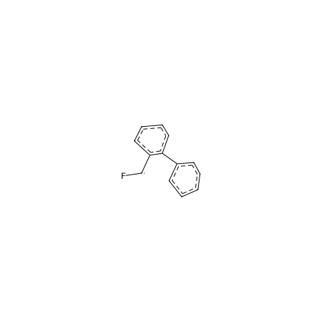 F[CH]c1ccccc1-c1ccccc1